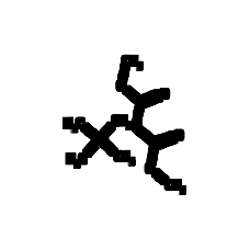 COC(=O)CC(=O)OC.C[N+](C)(C)C